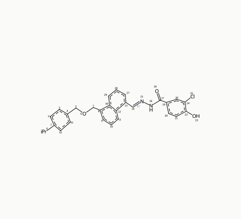 CC(C)c1ccc(COCc2cccc3c(/C=N/NC(=O)c4ccc(O)c(Cl)c4)cccc23)cc1